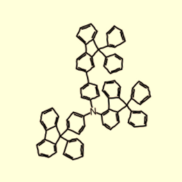 c1ccc(C2(c3ccc(N(c4ccc(-c5ccc6c(c5)C(c5ccccc5)(c5ccccc5)c5ccccc5-6)cc4)c4cccc5c4-c4ccccc4C5(c4ccccc4)c4ccccc4)cc3)c3ccccc3-c3ccccc32)cc1